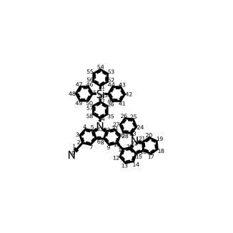 N#Cc1ccc2c(c1)c1cc(-c3cccc4c5ccccc5n(-c5ccccc5)c34)ccc1n2-c1ccc([Si](c2ccccc2)(c2ccccc2)c2ccccc2)cc1